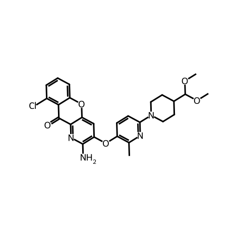 COC(OC)C1CCN(c2ccc(Oc3cc4oc5cccc(Cl)c5c(=O)c4nc3N)c(C)n2)CC1